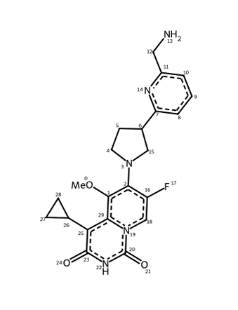 COc1c(N2CCC(c3cccc(CN)n3)C2)c(F)cn2c(=O)[nH]c(=O)c(C3CC3)c12